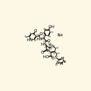 Cc1cc(=O)c(C(=O)N[C@@H](C(=O)N[C@@H]2C(=O)N3C(C(=O)O)=C(CSc4nnnn4C)CS[C@H]23)c2ccc(O)cc2)c[nH]1.[Na]